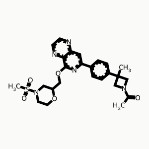 CC(=O)N1CC(C)(c2ccc(-c3cc4nccnc4c(OCC4CN(S(C)(=O)=O)CCO4)n3)cc2)C1